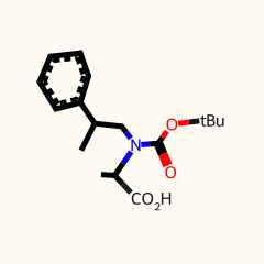 CC(CN(C(=O)OC(C)(C)C)C(C)C(=O)O)c1ccccc1